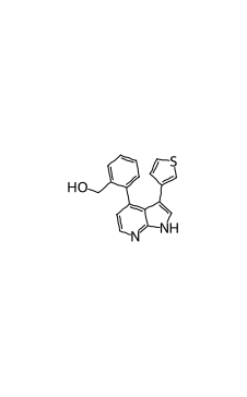 OCc1ccccc1-c1ccnc2[nH]cc(-c3ccsc3)c12